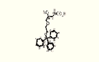 N#C[C@@H](CNC(=O)O)COCCOC(c1ccccc1)(c1ccccc1)c1ccccc1